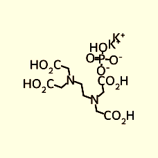 O=C(O)CN(CCN(CC(=O)O)CC(=O)O)CC(=O)O.O=P([O-])([O-])O.[K+].[K+]